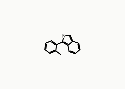 Cc1ccccc1C1=c2ccccc2=C[N]1